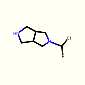 CCC(CC)N1CC2CNCC2C1